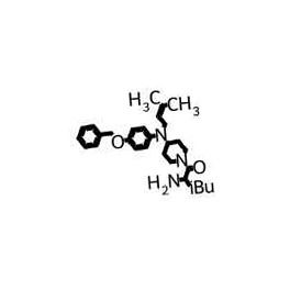 CCC(C)C(N)C(=O)N1CCC(N(CC=C(C)C)c2ccc(OCc3ccccc3)cc2)CC1